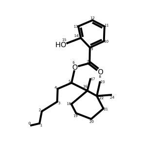 CCCCCC(OC(=O)c1ccccc1O)C1(C)CCCCC1(C)C